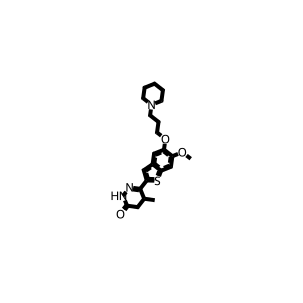 COc1cc2sc(C3=NNC(=O)CC3C)cc2cc1OCCCN1CCCCC1